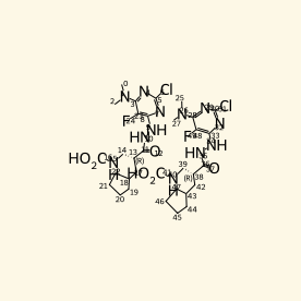 CN(C)c1nc(Cl)nc(NNC(=O)[C@@H](CNC(=O)O)CC2CCCC2)c1F.CN(C)c1nc(Cl)nc(NNC(=O)[C@@H](CNC(=O)O)CC2CCCC2)c1F